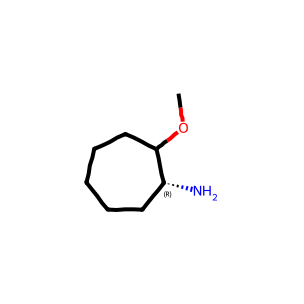 COC1CCCCC[C@H]1N